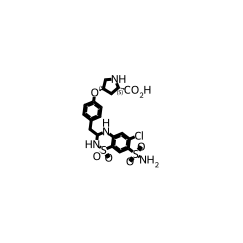 NS(=O)(=O)c1cc2c(cc1Cl)NC(Cc1ccc(O[C@@H]3CN[C@H](C(=O)O)C3)cc1)NS2(=O)=O